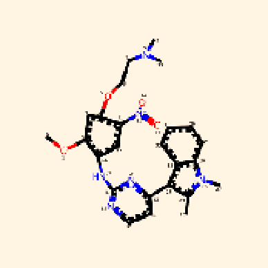 COc1cc(OCCN(C)C)c([N+](=O)[O-])cc1Nc1nccc(-c2c(C)n(C)c3ccccc23)n1